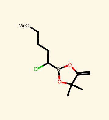 C=C1OB(C(Cl)CCCOC)OC1(C)C